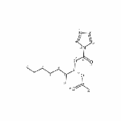 CCCCCC(C)[C@@H](OC(C)=O)OC(=O)n1ccnc1